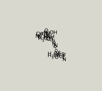 Cc1ncsc1-c1ccc(CNC(=O)[C@@H]2C[C@@H](O)CN2C(=O)[C@@H](NC(=O)COCC2CCN(c3ccc(-c4ccc(N5C(=S)N(c6ccc(C#N)c(C(F)(F)F)c6)C(=O)C5(C)C)cc4)cn3)CC2)C(C)(C)C)cc1